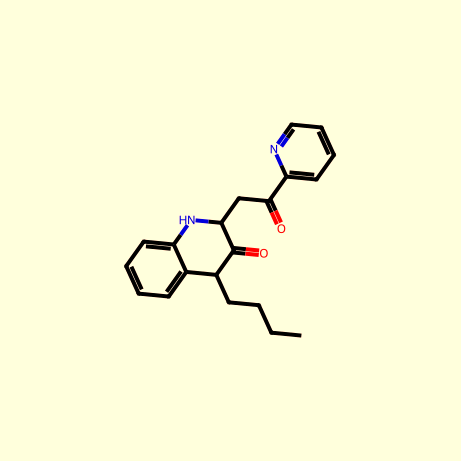 CCCCC1C(=O)C(CC(=O)c2ccccn2)Nc2ccccc21